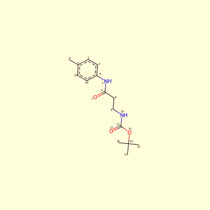 Cc1ccc(NC(=O)CCNC(=O)OC(C)(C)C)cc1